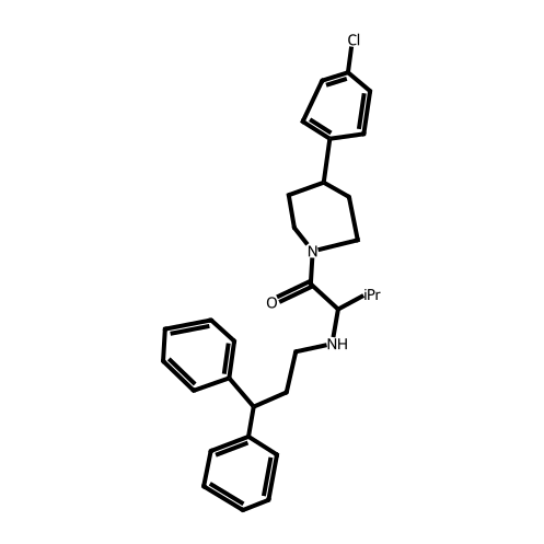 CC(C)C(NCCC(c1ccccc1)c1ccccc1)C(=O)N1CCC(c2ccc(Cl)cc2)CC1